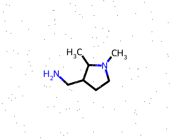 CC1C(CN)CCN1C